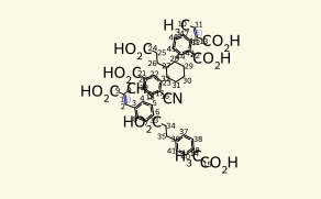 C/C(=C\c1ccccc1)C(=O)O.C/C=C/C(=O)O.CC(=O)O.N#Cc1ccc(C(=O)O)cc1.O=C(O)CCC1CCCCC1.O=C(O)CCc1ccccc1.O=C(O)c1ccccc1